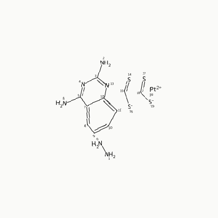 NN.Nc1nc(N)c2ccccc2n1.S=C[S-].S=C[S-].[Pt+2]